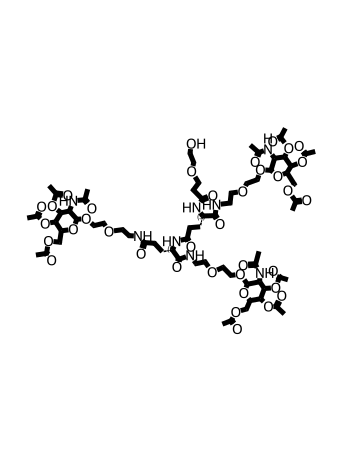 CC(=O)NC1C(OCCOCCNC(=O)CC[C@H](NC(=O)CC[C@H](NC(=O)CCOCCO)C(=O)NCCOCCOC2OC(COC(C)=O)C(OC(C)=O)C(OC(C)=O)C2NC(C)=O)C(=O)NCCOCCOC2OC(COC(C)=O)C(OC(C)=O)C(OC(C)=O)C2NC(C)=O)OC(COC(C)=O)C(OC(C)=O)C1OC(C)=O